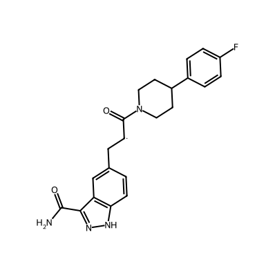 NC(=O)c1n[nH]c2ccc(C[CH]C(=O)N3CCC(c4ccc(F)cc4)CC3)cc12